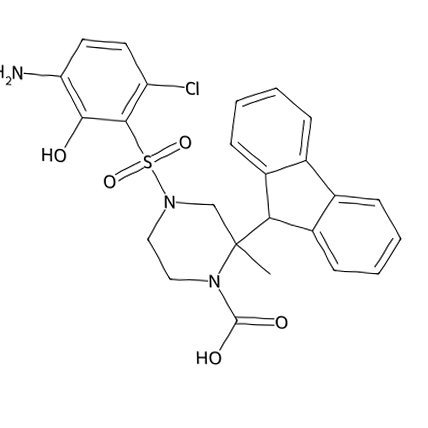 CC1(C2c3ccccc3-c3ccccc32)CN(S(=O)(=O)c2c(Cl)ccc(N)c2O)CCN1C(=O)O